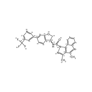 Cc1nc2ccccc2c2c1c(C)nn2C(=O)N[C@@H]1COc2cc(-c3cncc(C(F)(F)F)c3)ccc21